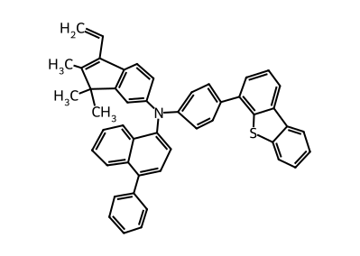 C=CC1=C(C)C(C)(C)c2cc(N(c3ccc(-c4cccc5c4sc4ccccc45)cc3)c3ccc(-c4ccccc4)c4ccccc34)ccc21